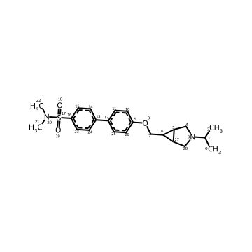 CC(C)N1CC2C(COc3ccc(-c4ccc(S(=O)(=O)N(C)C)cc4)cc3)C2C1